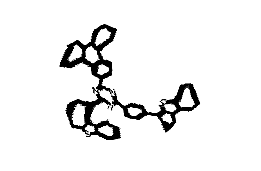 c1ccc2c(c1)sc1c(-c3ccc(-c4nc(-c5ccc6c7ccccc7c7ccccc7c6c5)nc(-c5cccc6sc7ccccc7c56)n4)cc3)cccc12